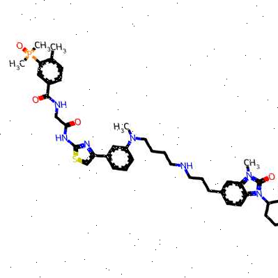 Cc1ccc(C(=O)NCC(=O)Nc2nc(-c3cccc(N(C)CCCCNCCCc4ccc5c(c4)n(C)c(=O)n5C4CCC(=O)NC4=O)c3)cs2)cc1P(C)(C)=O